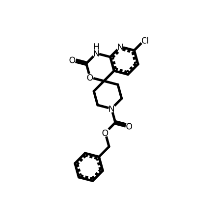 O=C1Nc2nc(Cl)ccc2C2(CCN(C(=O)OCc3ccccc3)CC2)O1